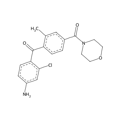 Cc1cc(C(=O)N2CCOCC2)ccc1C(=O)c1ccc(N)cc1Cl